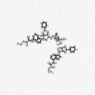 CCNC(=O)Nc1ncnc2c1ncn2[C@@H]1O[C@H](COP(=O)(O)OP(=O)(O)OC[C@H]2O[C@@H](n3cnc4c(NC(=O)NCC)ncnc43)[C@H]3OC(c4ccccc4)OC23)C2OC(c3ccccc3)OC21